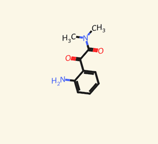 CN(C)C(=O)C(=O)c1ccccc1N